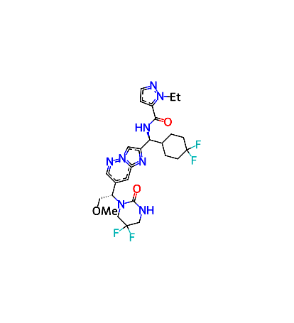 CCn1nccc1C(=O)N[C@H](c1cn2ncc([C@@H](COC)N3CC(F)(F)CNC3=O)cc2n1)C1CCC(F)(F)CC1